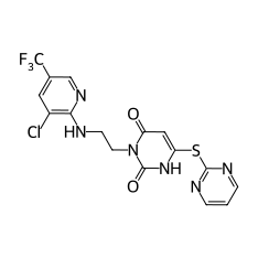 O=c1cc(Sc2ncccn2)[nH]c(=O)n1CCNc1ncc(C(F)(F)F)cc1Cl